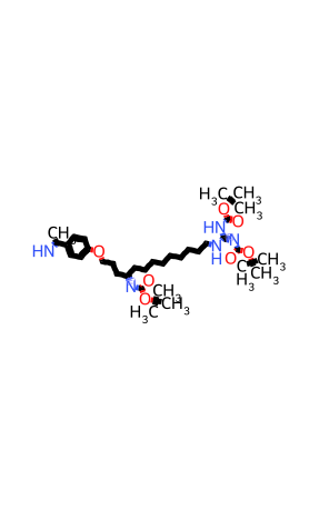 CC(=N)c1ccc(OCCC/C(CCCCCCCCCN/C(=N\C(=O)OC(C)(C)C)NC(=O)OC(C)(C)C)=N/C(=O)OC(C)(C)C)cc1